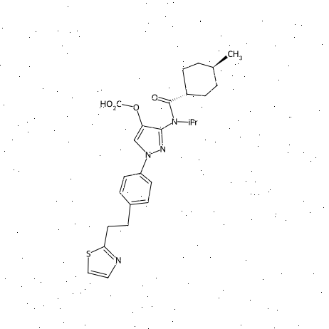 CC(C)N(c1nn(-c2ccc(CCc3nccs3)cc2)cc1OC(=O)O)C(=O)[C@H]1CC[C@H](C)CC1